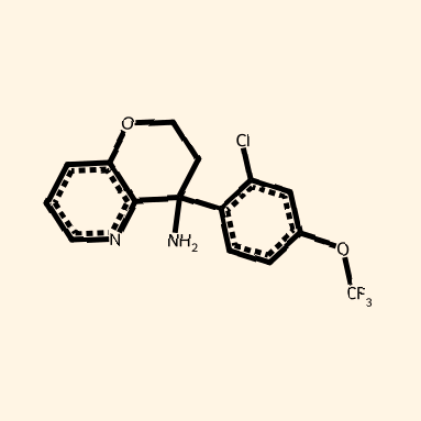 NC1(c2ccc(OC(F)(F)F)cc2Cl)CCOc2cccnc21